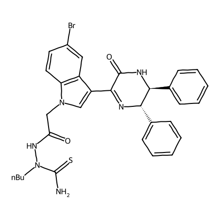 CCCCN(NC(=O)Cn1cc(C2=N[C@@H](c3ccccc3)[C@H](c3ccccc3)NC2=O)c2cc(Br)ccc21)C(N)=S